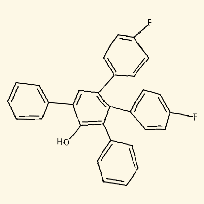 Oc1c(-c2ccccc2)cc(-c2ccc(F)cc2)c(-c2ccc(F)cc2)c1-c1ccccc1